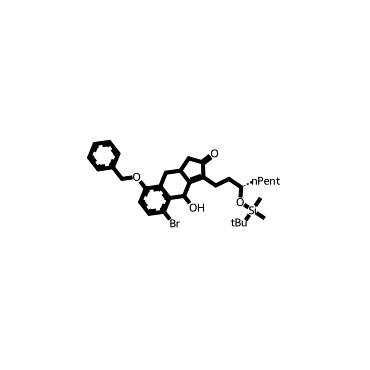 CCCCC[C@@H](CCC1=C2C(CC1=O)Cc1c(OCc3ccccc3)ccc(Br)c1C2O)O[Si](C)(C)C(C)(C)C